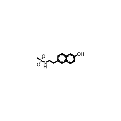 CS(=O)(=O)NCCc1ccc2cc(O)ccc2c1